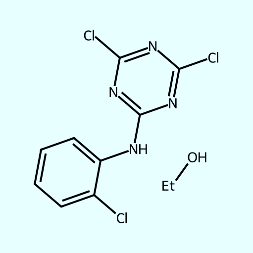 CCO.Clc1nc(Cl)nc(Nc2ccccc2Cl)n1